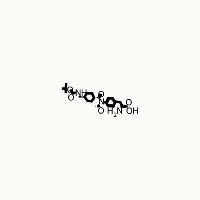 CC(C)(C)OC(=O)NC[C@H]1CC[C@H](C(=O)N([C]=O)c2ccc(C[C@H](N)C(=O)O)cc2)CC1